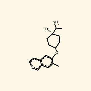 CC[C@]1(C(C)N)CC[C@@H](Oc2cc3ccncc3cc2C)CC1